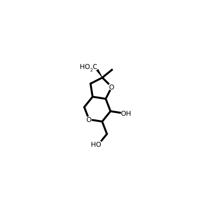 C[C@@]1(C(=O)O)CC2COC(CO)C(O)C2O1